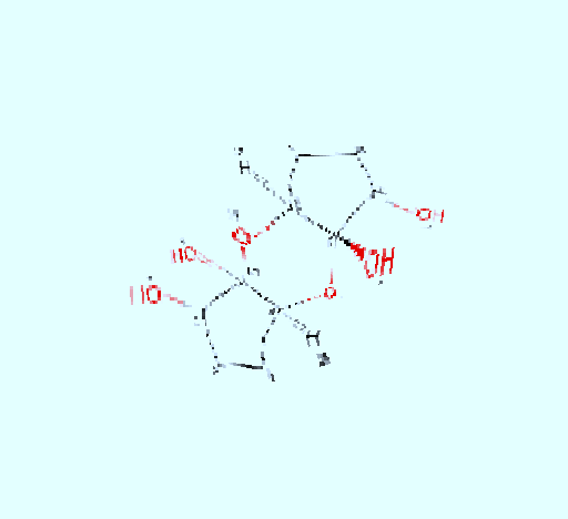 O[C@H]1CC[C@@H]2O[C@]3(O)[C@H](CC[C@@H]3O)O[C@@]21O